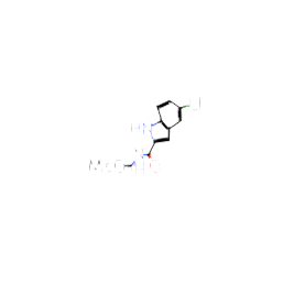 CO[CH]NC(=O)c1cc2cc(Cl)ccc2[nH]1